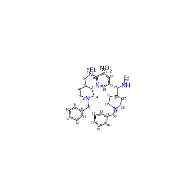 CCN(CC1CCN(Cc2ccccc2)CC1)c1ncccc1[N+](=O)[O-].CCNCC1CCN(Cc2ccccc2)CC1